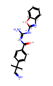 CC(C)(C=N)c1ccc(C(=O)/N=C(/N)Nc2nc3ccccc3o2)cc1